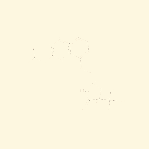 CC(C)Oc1ccc2ccnc(OC[C@@H]3C[C@@](F)(C(C)(C)O)C(=O)N3)c2c1